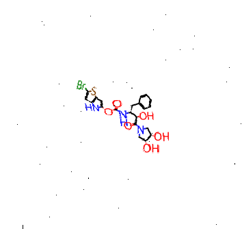 O=C(N[C@@H](Cc1ccccc1)[C@@H](O)C(=O)N1C[C@@H](O)[C@@H](O)C1)Oc1cc2sc(Br)cc2[nH]1